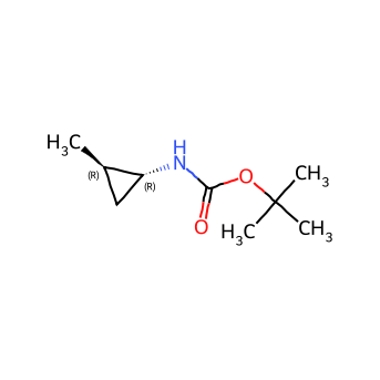 C[C@@H]1C[C@H]1NC(=O)OC(C)(C)C